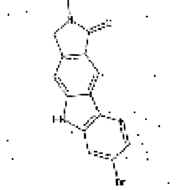 CN1Cc2cc3[nH]c4cc(Br)cnc4c3cc2C1=O